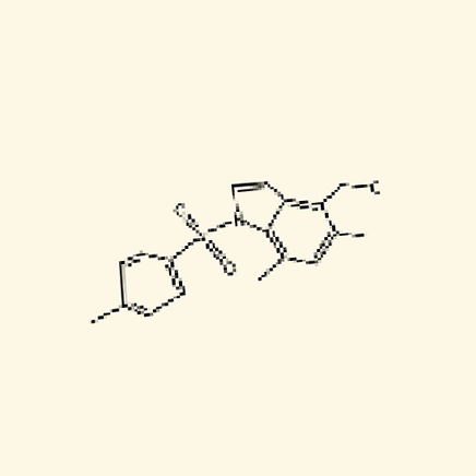 Cc1ccc(S(=O)(=O)n2ccc3c(CCl)c(C)cc(C)c32)cc1